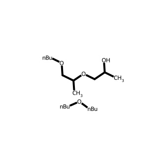 CCCCOCC(C)OCC(C)O.CCCCOCCCC